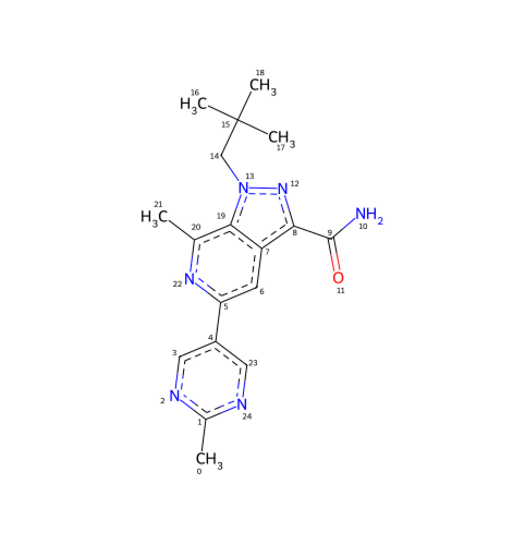 Cc1ncc(-c2cc3c(C(N)=O)nn(CC(C)(C)C)c3c(C)n2)cn1